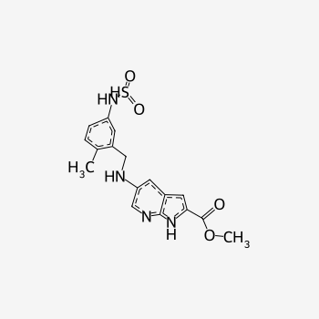 COC(=O)c1cc2cc(NCc3cc(N[SH](=O)=O)ccc3C)cnc2[nH]1